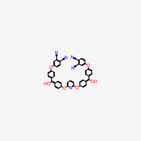 N#Cc1ccc(Oc2ccc(C(O)=C3C=CC(Oc4cccc(OC5C=CC(=C(O)c6ccc(Oc7ccc(C#N)c(C#N)c7)cc6)C=C5)n4)C=C3)cc2)cc1C#N